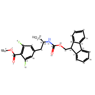 CC(C)(C)OC(=O)c1c(F)cc(C[C@H](NC(=O)OCC2c3ccccc3-c3ccccc32)C(=O)O)cc1F